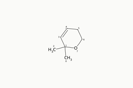 CC1(C)C=[C]CCO1